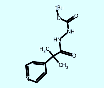 CC(C)(C)OC(=O)NNC(=O)C(C)(C)c1ccncc1